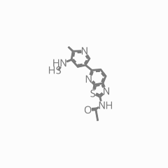 CC(=O)Nc1nc2ccc(-c3cnc(C)c(NS)c3)nc2s1